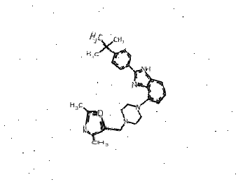 Cc1nc(C)c(CN2CCN(c3cccc4[nH]c(-c5ccc(C(C)(C)C)cc5)nc34)CC2)o1